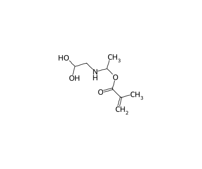 C=C(C)C(=O)OC(C)NCC(O)O